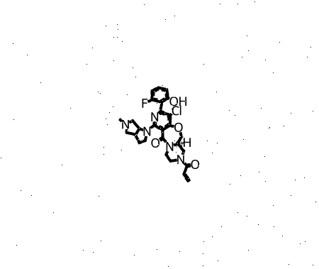 C=CC(=O)N1CCN2C(=O)c3c(N4CCC5CN(C)CC54)nc(-c4c(O)cccc4F)c(Cl)c3OC[C@H]2C1